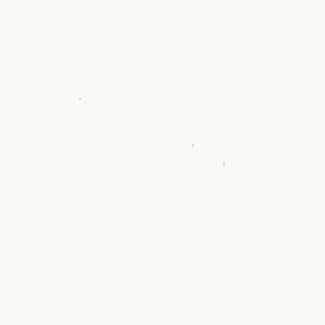 CC(=O)c1ccccc1C(=O)c1ccc(C)cc1C